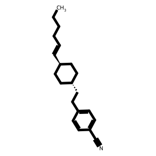 CCCCC=C[C@H]1CC[C@H](CCc2ccc(C#N)cc2)CC1